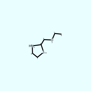 CCOCC1NCCS1